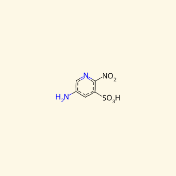 Nc1cnc([N+](=O)[O-])c(S(=O)(=O)O)c1